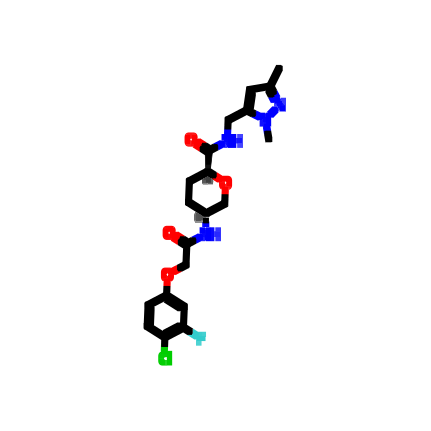 Cc1cc(CNC(=O)[C@@H]2CC[C@@H](NC(=O)COc3ccc(Cl)c(F)c3)CO2)n(C)n1